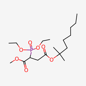 CCCCCCC(C)(C)OC(=O)CC(C(=O)OC)P(=O)(OCC)OCC